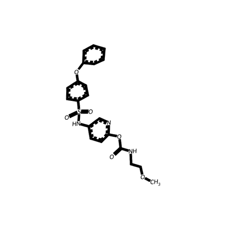 COCCNC(=O)Oc1ccc(NS(=O)(=O)c2ccc(Oc3ccccc3)cc2)cn1